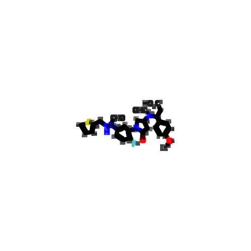 CCOc1ccc(C(CC(=O)O)N(C=O)C2CC(=O)N(c3cc(N(C=O)NCc4cccs4)ccc3F)C2)cc1